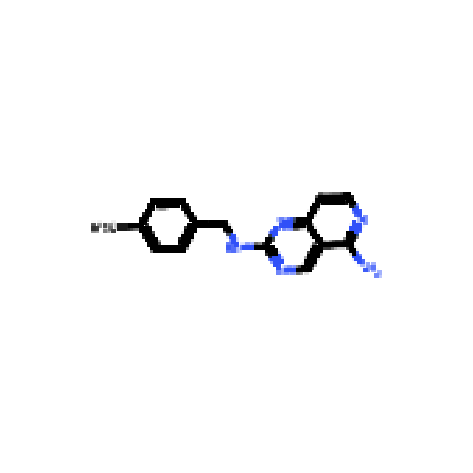 COc1ccc(CNc2ncc3c(N)nccc3n2)cc1